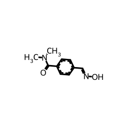 CN(C)C(=O)c1ccc(C=NO)cc1